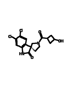 O=C(C1CC(O)C1)N1CC[C@]2(C1)C(=O)Nc1cc(Cl)c(Cl)cc12